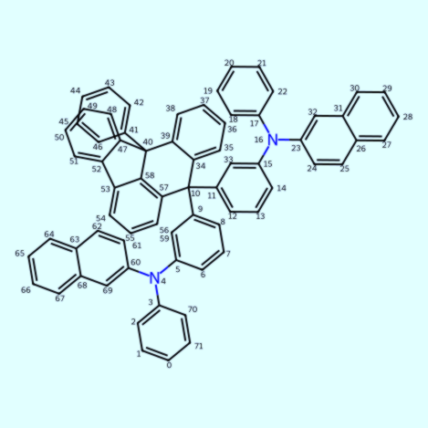 c1ccc(N(c2cccc(C3(c4cccc(N(c5ccccc5)c5ccc6ccccc6c5)c4)c4ccccc4C4(c5ccccc5)c5ccccc5-c5cccc3c54)c2)c2ccc3ccccc3c2)cc1